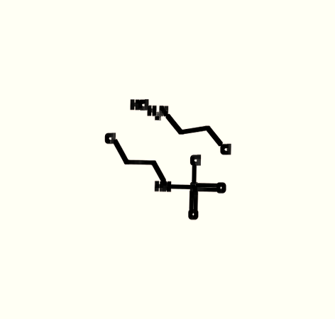 Cl.NCCCl.O=S(=O)(Cl)NCCCl